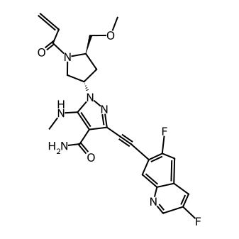 C=CC(=O)N1C[C@@H](n2nc(C#Cc3cc4ncc(F)cc4cc3F)c(C(N)=O)c2NC)C[C@@H]1COC